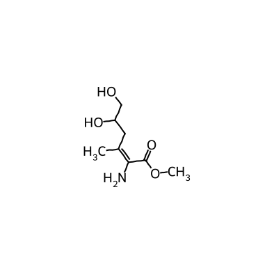 COC(=O)C(N)=C(C)CC(O)CO